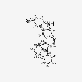 Brc1ccc2[nH]c3cc4ccc5c(c4cc3c2c1)c1cccc2c3ccccc3n5c21